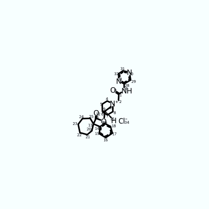 O=C(C[N+]12CCC(CC1)[C@@H](OC(=O)C1(c3ccccc3)CCCCCC1)C2)Nc1cnccn1.[Cl-]